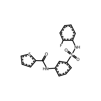 O=C(Nc1cccc(S(=O)(=O)Nc2ccccc2F)c1)c1cccs1